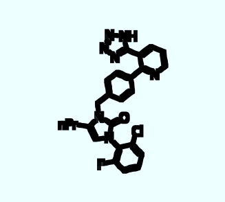 CCCc1cn(-c2c(F)cccc2Cl)c(=O)n1Cc1ccc(-c2ncccc2-c2nnn[nH]2)cc1